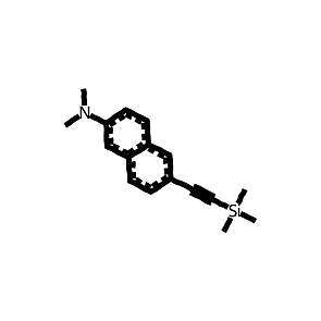 CN(C)c1ccc2cc(C#C[Si](C)(C)C)ccc2c1